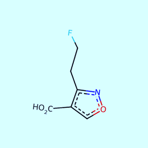 O=C(O)c1conc1CCF